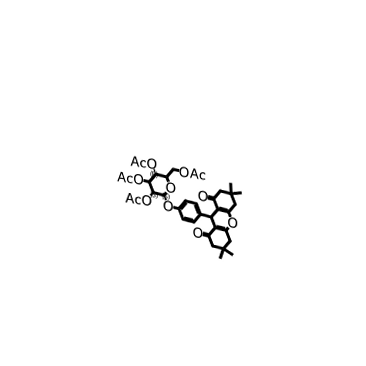 CC(=O)OCC1O[C@@H](Oc2ccc(C3C4=C(CC(C)(C)CC4=O)OC4=C3C(=O)CC(C)(C)C4)cc2)[C@@H](OC(C)=O)C(OC(C)=O)[C@@H]1OC(C)=O